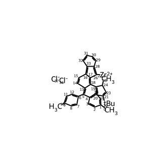 Cc1ccc(C(c2ccc(C)cc2)=c2ccc3c(c2C2=CC(C(C)(C)C)=CC2C)[C]([Zr+2])=c2ccccc2=3)cc1.[Cl-].[Cl-]